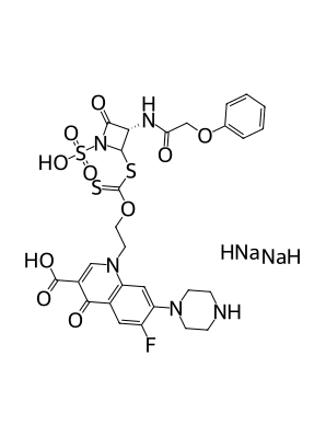 O=C(COc1ccccc1)N[C@H]1C(=O)N(S(=O)(=O)O)C1SC(=S)OCCn1cc(C(=O)O)c(=O)c2cc(F)c(N3CCNCC3)cc21.[NaH].[NaH]